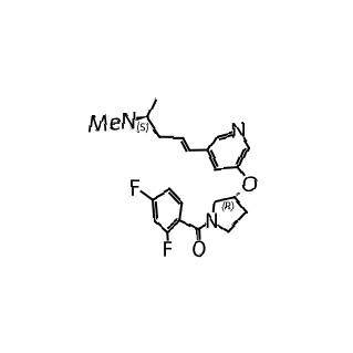 CN[C@@H](C)CC=Cc1cncc(O[C@@H]2CCN(C(=O)c3ccc(F)cc3F)C2)c1